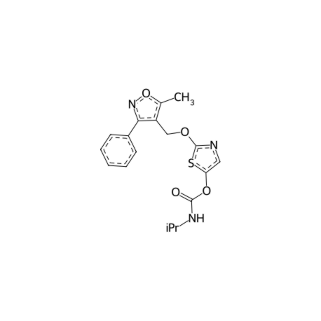 Cc1onc(-c2ccccc2)c1COc1ncc(OC(=O)NC(C)C)s1